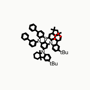 CC(C)(C)c1ccc(N2c3cc4c(cc3B3c5ccc(-c6ccccc6)cc5N(c5cccc(-c6ccccc6)c5)c5cc(N6c7ccc(C(C)(C)C)cc7C7(C)CCCCC67C)cc2c53)C(C)(C)CC4(C)C)c(-c2ccccc2)c1